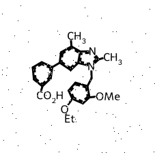 CCOc1ccc(Cn2c(C)nc3c(C)cc(-c4cccc(C(=O)O)c4)cc32)c(OC)c1